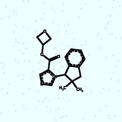 CC1(C)Cc2ccccc2C1n1cncc1C(=O)OC1COC1